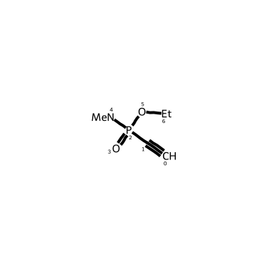 C#CP(=O)(NC)OCC